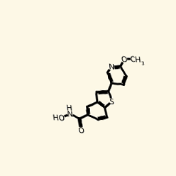 COc1ccc(-c2cc3cc(C(=O)NO)ccc3s2)cn1